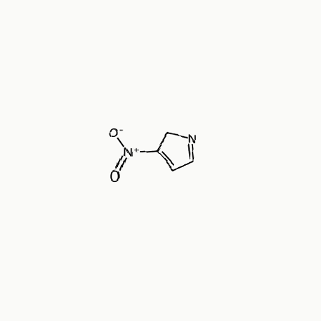 O=[N+]([O-])C1=CC=NC1